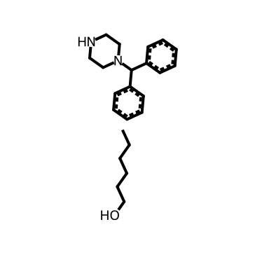 CCCCCCO.c1ccc(C(c2ccccc2)N2CCNCC2)cc1